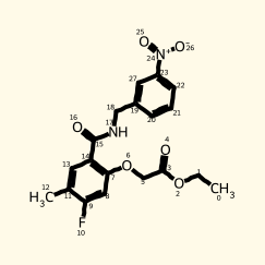 CCOC(=O)COc1cc(F)c(C)cc1C(=O)NCc1cccc([N+](=O)[O-])c1